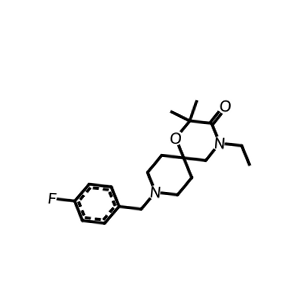 CCN1CC2(CCN(Cc3ccc(F)cc3)CC2)OC(C)(C)C1=O